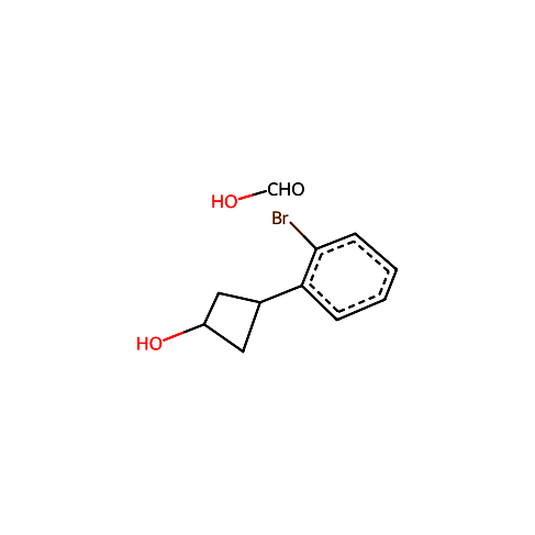 O=CO.OC1CC(c2ccccc2Br)C1